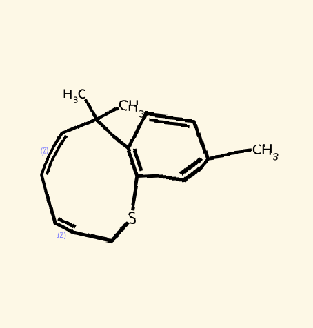 Cc1ccc2c(c1)SC/C=C\C=C/C2(C)C